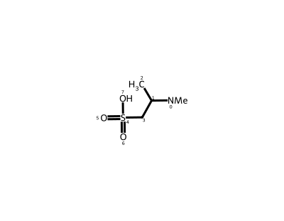 CNC(C)CS(=O)(=O)O